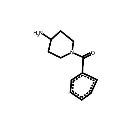 NC1CCN(C(=O)c2c[c]ccc2)CC1